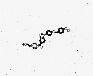 O=C(c1ccc2c(c1)ncn2-c1ccc(OCc2ccc(OC(F)(F)F)cc2)cc1)N1CCN(CCO)CC1